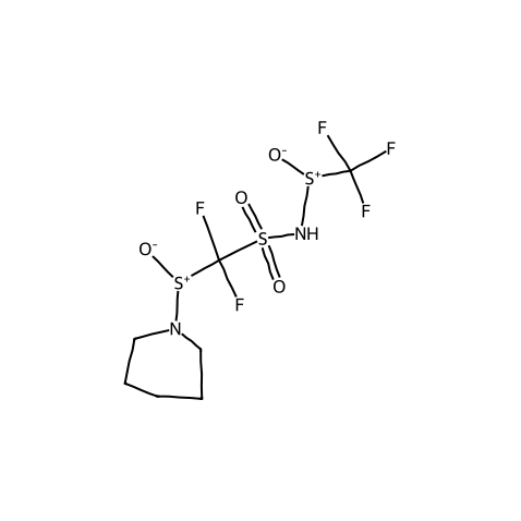 O=S(=O)(N[S+]([O-])C(F)(F)F)C(F)(F)[S+]([O-])N1CCCCC1